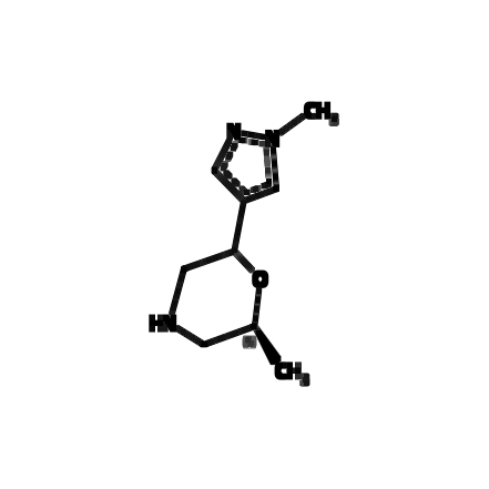 C[C@H]1CNCC(c2cnn(C)c2)O1